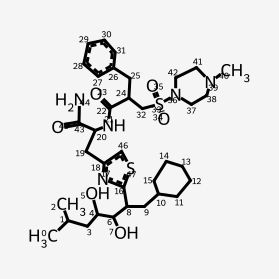 CC(C)CC(O)C(O)C(CC1CCCCC1)c1nc(CC(NC(=O)C(Cc2ccccc2)CS(=O)(=O)N2CCN(C)CC2)C(N)=O)cs1